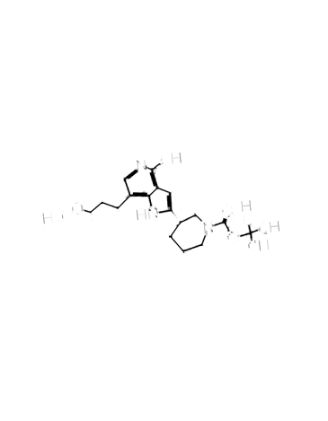 COCCCc1cnc(C)c2cc([C@@H]3CCCN(C(=O)OC(C)(C)C)C3)[nH]c12